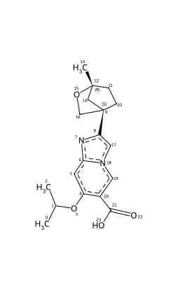 CC(C)Oc1cc2nc([C@]34CC[C@](C)(C3)OC4)cn2cc1C(=O)O